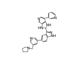 c1cncc(-c2cncc3c2NC(c2n[nH]c4ccc(-c5cncc(CN6CCCC6)c5)cc24)N3)c1